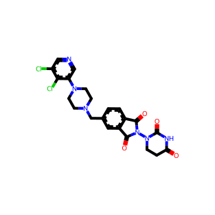 O=C1CCN(N2C(=O)c3ccc(CN4CCN(c5cncc(Cl)c5Cl)CC4)cc3C2=O)C(=O)N1